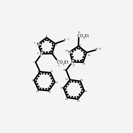 CCOC(=O)c1c(F)cnn1Cc1ccccc1.CCOC(=O)c1nn(Cc2ccccc2)cc1F